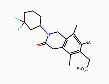 CCOC(=O)Cc1c(C)c2c(c(C)c1CC)CN(C1CCCC(F)(F)C1)C(=O)C2